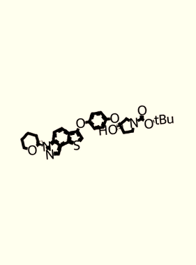 CC(C)(C)OC(=O)N1CC[C@](O)(Oc2ccc(Oc3csc4c3ccc3c4cnn3[C@@H]3CCCCO3)cc2)C1